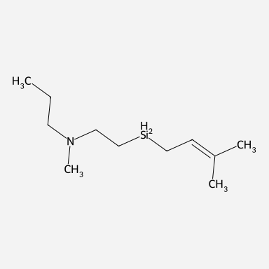 CCCN(C)CC[SiH2]CC=C(C)C